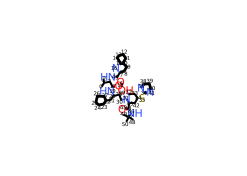 CC(C)[C@H](NC(=O)c1ccc2ccccc2n1)C(=O)NC(Cc1ccccc1)C(O)CN1CCC(Sc2ncccn2)CC1C(=O)NC(C)(C)C